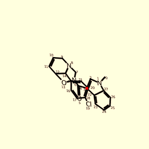 Cn1cc(C(=O)N2CN3CC=CC(O2)C3c2ccc(Cl)cc2)c2ccccc21